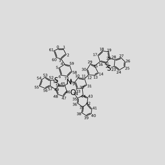 c1ccc(-c2ccc(N(c3cc(-c4ccc(-c5cccc6c5sc5ccccc56)cc4)cc4c3oc3cc5ccccc5cc34)c3cccc4c3sc3ccccc34)cc2)cc1